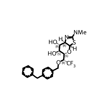 CNC1=N[C@@H]2[C@@H](O)[C@H](O)[C@@H]([C@@H](OCc3ccc(Cc4ccccc4)cc3)C(F)(F)F)O[C@@H]2S1